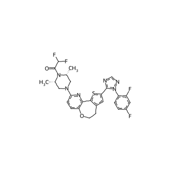 C[C@@H]1CN(c2ccc3c(n2)-c2sc(-c4ncnn4-c4ccc(F)cc4F)cc2CCO3)C[C@H](C)N1C(=O)C(F)F